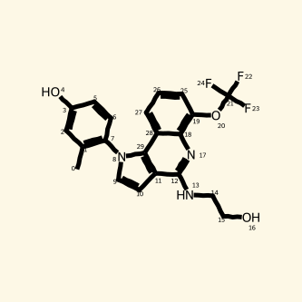 Cc1cc(O)ccc1-n1ccc2c(NCCO)nc3c(OC(F)(F)F)cccc3c21